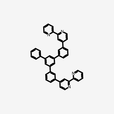 c1ccc(-c2cc(-c3cccc(-c4ccnc(-c5ccccn5)c4)c3)cc(-c3cccc(-c4ccnc(-c5ccccn5)c4)c3)c2)cc1